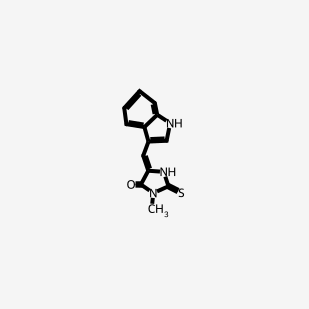 CN1C(=O)/C(=C/c2c[nH]c3ccccc23)NC1=S